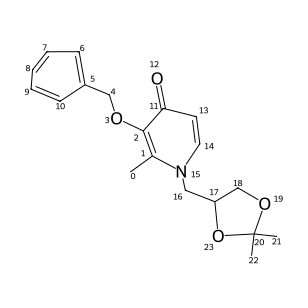 Cc1c(OCc2ccccc2)c(=O)ccn1CC1COC(C)(C)O1